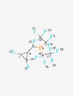 FC1C(F)C1CP(C(F)(F)C(F)(F)F)C(F)(F)C(F)(F)F